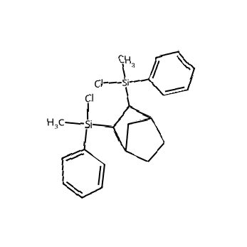 C[Si](Cl)(c1ccccc1)C1C2CCC(C2)C1[Si](C)(Cl)c1ccccc1